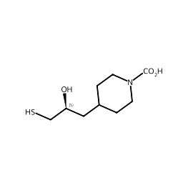 O=C(O)N1CCC(C[C@H](O)CS)CC1